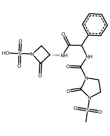 CS(=O)(=O)N1CCN(C(=O)NC(C(=O)N[C@H]2CN(S(=O)(=O)O)C2=O)c2ccccc2)C1=O